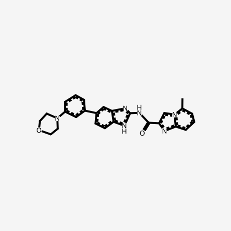 Cc1cccc2nc(C(=O)Nc3nc4cc(-c5cccc(N6CCOCC6)c5)ccc4[nH]3)cn12